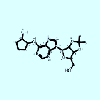 CC1(C)OC2C(CO)OC(n3cnc4c(NC5CCCC5O)ncnc43)C2O1